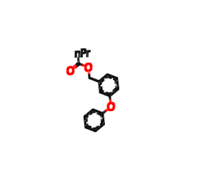 CCCC(=O)OCc1cccc(Oc2ccccc2)c1